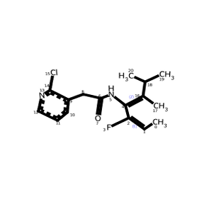 C/C=C(F)\C(NC(=O)Cc1cccnc1Cl)=C(/C)C(C)C